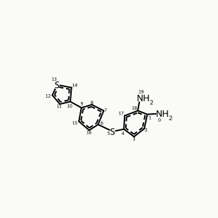 Nc1ccc(Sc2ccc(-c3ccsc3)cc2)cc1N